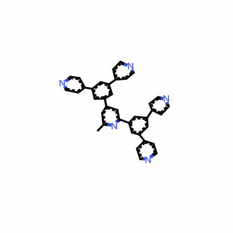 Cc1cc(-c2cc(-c3ccncc3)cc(-c3ccncc3)c2)cc(-c2cc(-c3ccncc3)cc(-c3ccncc3)c2)n1